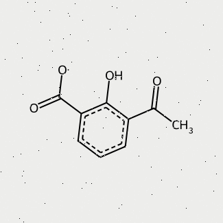 CC(=O)c1cccc(C([O])=O)c1O